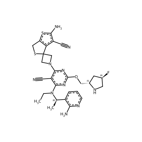 CCN(c1nc(OC[C@@H]2C[C@@H](F)CN2)nc(N2CC3(C2)SCc2sc(N)c(C#N)c23)c1C#N)[C@H](C)c1cccnc1N